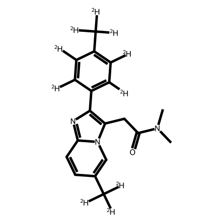 [2H]c1c([2H])c(C([2H])([2H])[2H])c([2H])c([2H])c1-c1nc2ccc(C([2H])([2H])[2H])cn2c1CC(=O)N(C)C